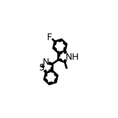 Cc1[nH]c2ccc(F)cc2c1-c1nsc2ccccc12